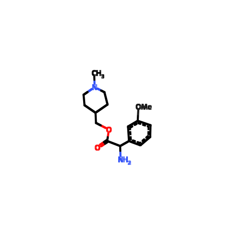 COc1cccc(C(N)C(=O)OCC2CCN(C)CC2)c1